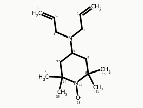 C=CCN(CC=C)C1CC(C)(C)N([O])C(C)(C)C1